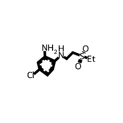 CCS(=O)(=O)CCNc1ccc(Cl)cc1N